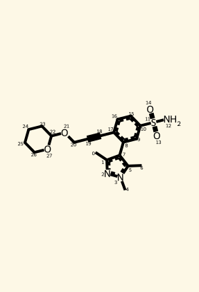 Cc1nn(C)c(C)c1-c1cc(S(N)(=O)=O)ccc1C#CCOC1CCCCO1